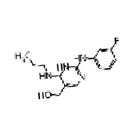 CCCNC1NC(Nc2cccc(F)c2)=NC=C1CO